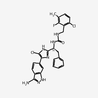 Cc1ccc(Cl)c(CNC(=O)N[C@@H](Cc2ccccc2)c2nc(-c3ccc4c(N)n[nH]c4c3)c(Cl)[nH]2)c1F